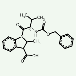 CC(C)[C@H](NC(=O)OCc1ccccc1)C(=O)N1c2ccccc2C(C(=O)O)C1C